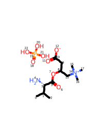 CC(C)[C@H](N)C(=O)OC(CC(=O)[O-])C[N+](C)(C)C.O=P(O)(O)O